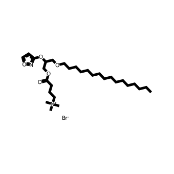 CCCCCCCCCCCCCCCCOCC(COC(=O)CCC[N+](C)(C)C)Oc1ccon1.[Br-]